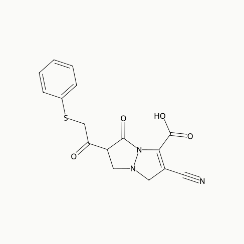 N#CC1=C(C(=O)O)N2C(=O)C(C(=O)CSc3ccccc3)CN2C1